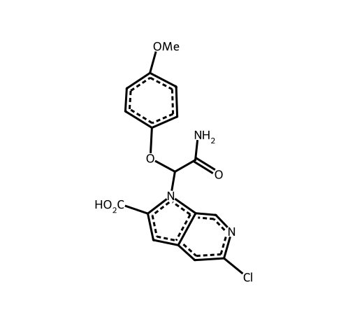 COc1ccc(OC(C(N)=O)n2c(C(=O)O)cc3cc(Cl)ncc32)cc1